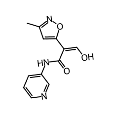 Cc1cc(/C(=C/O)C(=O)Nc2cccnc2)on1